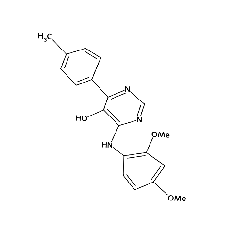 COc1ccc(Nc2ncnc(-c3ccc(C)cc3)c2O)c(OC)c1